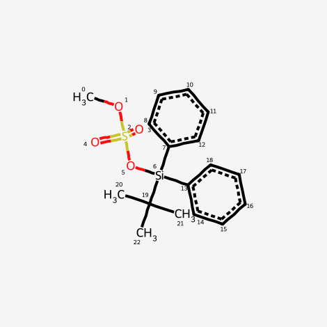 COS(=O)(=O)O[Si](c1ccccc1)(c1ccccc1)C(C)(C)C